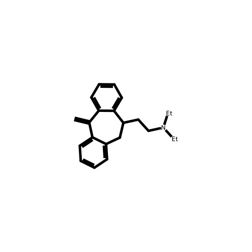 C=C1c2ccccc2CC(CCN(CC)CC)c2ccccc21